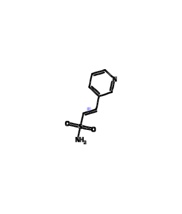 NS(=O)(=O)/C=C/c1cccnc1